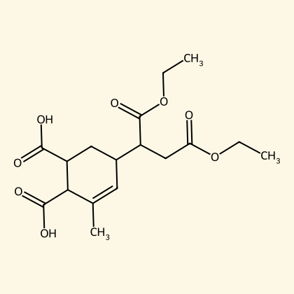 CCOC(=O)CC(C(=O)OCC)C1C=C(C)C(C(=O)O)C(C(=O)O)C1